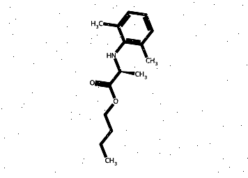 CCCCOC(=O)[C@H](C)Nc1c(C)cccc1C